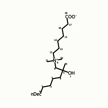 CCCCCCCCCCCCCCC(C)(O)C[N+](C)(C)CCCCCCC(=O)[O-]